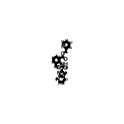 Cc1cccc(C(=O)OCc2ccccn2)c1NS(=O)(=O)c1nc2ncccn2n1